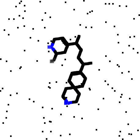 CC(CCC(C)C1=CCNC(C(C)C)C1)C1=CCC2(CCNCC2)CC1